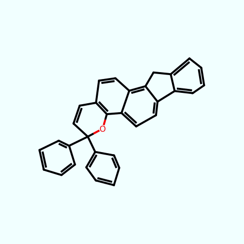 C1=CC(c2ccccc2)(c2ccccc2)Oc2c1ccc1c3c(ccc21)-c1ccccc1C3